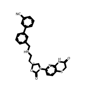 N#Cc1cccc(-c2cccc(CNCC[C@H]3CN(c4ccc5c(n4)NC(=O)CS5)C(=O)O3)c2)c1